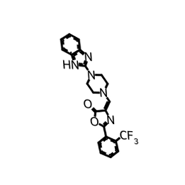 O=C1OC(c2ccccc2C(F)(F)F)=N/C1=C/N1CCN(c2nc3ccccc3[nH]2)CC1